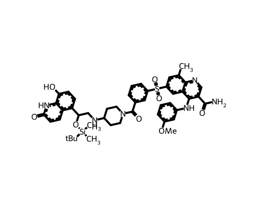 COc1cccc(Nc2c(C(N)=O)cnc3c(C)cc(S(=O)(=O)c4cccc(C(=O)N5CCC(NCC(O[Si](C)(C)C(C)(C)C)c6ccc(O)c7[nH]c(=O)ccc67)CC5)c4)cc23)c1